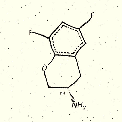 N[C@@H]1COc2c(F)cc(F)cc2C1